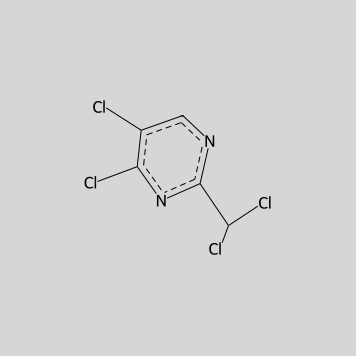 Clc1cnc(C(Cl)Cl)nc1Cl